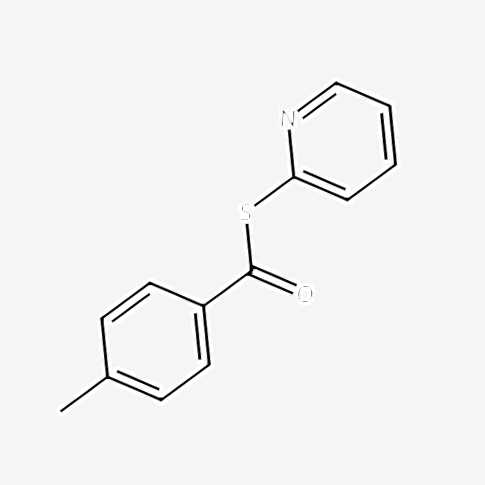 Cc1ccc(C(=O)Sc2ccccn2)cc1